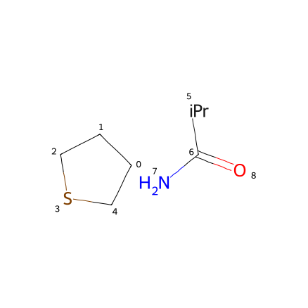 C1CCSC1.CC(C)C(N)=O